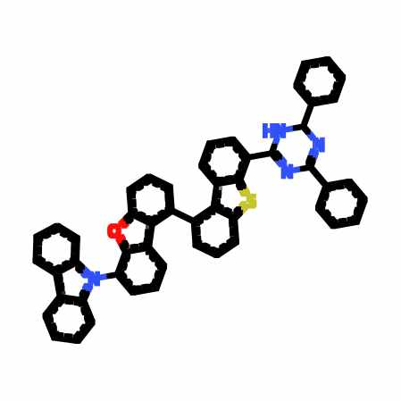 c1ccc(C2=NC(c3ccccc3)NC(c3cccc4c3sc3cccc(-c5cccc6oc7c(-n8c9ccccc9c9ccccc98)cccc7c56)c34)=N2)cc1